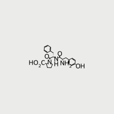 N[C@@H](Cc1ccc(O)cc1)C(=O)N[C@@H](Cc1ccccc1)C(=O)N1CCC[C@H]1C(=O)O